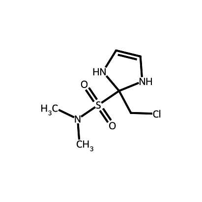 CN(C)S(=O)(=O)C1(CCl)NC=CN1